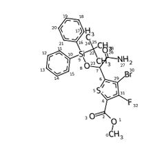 COC(=O)c1sc(C(O[Si](c2ccccc2)(c2ccccc2)C(C)(C)C)C(N)=O)c(Br)c1F